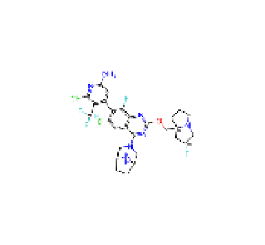 Nc1cc(-c2c(Cl)cc3c(N4CC5CCC(C4)N5)nc(OC[C@@]45CCCN4C[C@H](F)C5)nc3c2F)c(C(F)(F)F)c(Cl)n1